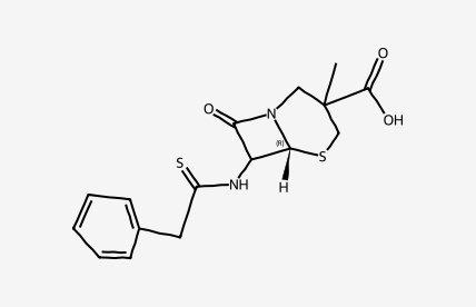 CC1(C(=O)O)CS[C@@H]2C(NC(=S)Cc3ccccc3)C(=O)N2C1